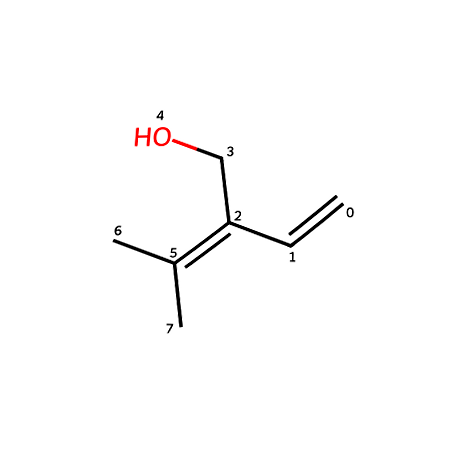 C=CC(CO)=C(C)C